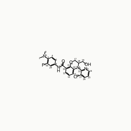 CN(C)c1ccc(NC(=O)c2cccc3c2OCC(CO)N3c2ncccc2Cl)cc1F